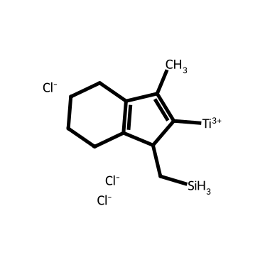 CC1=[C]([Ti+3])C(C[SiH3])C2=C1CCCC2.[Cl-].[Cl-].[Cl-]